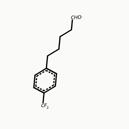 O=[C]CCCCc1ccc(C(F)(F)F)cc1